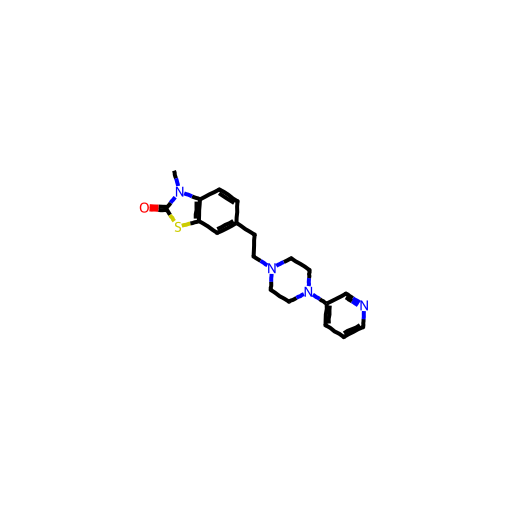 Cn1c(=O)sc2cc(CCN3CCN(c4cccnc4)CC3)ccc21